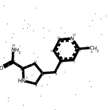 Cc1cc(CC2CNC(C(N)=O)C2)ccn1